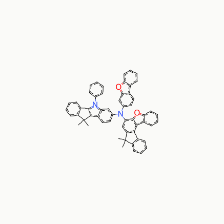 CC1(C)c2ccccc2-c2c1cc(N(c1ccc3c(c1)oc1ccccc13)c1ccc3c4c(n(-c5ccccc5)c3c1)-c1ccccc1C4(C)C)c1oc3ccccc3c21